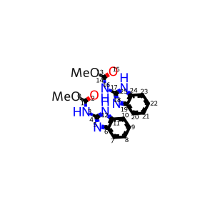 COC(=O)Nc1nc2ccccc2[nH]1.COC(=O)Nc1nc2ccccc2[nH]1